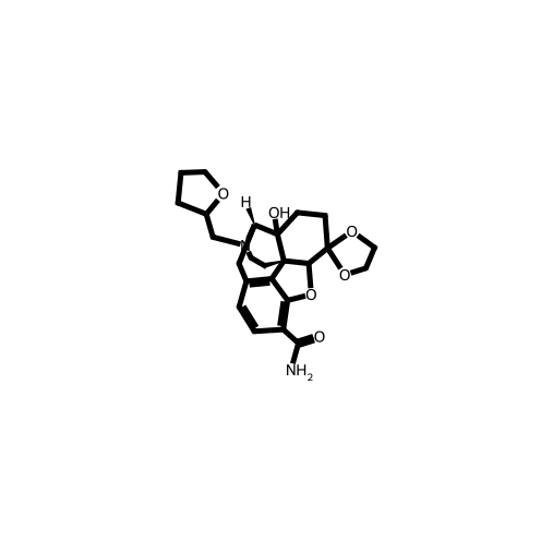 NC(=O)c1ccc2c3c1OC1C4(CCC5(O)[C@@H](C2)N(CC2CCCO2)CC[C@]315)OCCO4